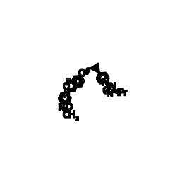 Cc1nc2c(o1)CN(C(=O)Cc1ccc(OCC[C@@H]3C[C@@H]3C3CCN(c4nc(C(C)C)no4)CC3)cc1F)CC2